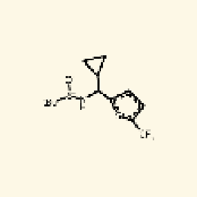 CC(C)(C)[S+]([O-])NC(c1ccc(C(F)(F)F)s1)C1CC1